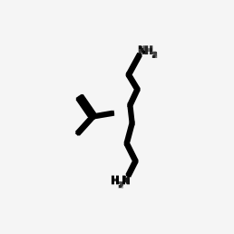 C=C(C)C.NCCCCCCN